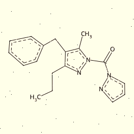 CCCc1nn(C(=O)n2cccn2)c(C)c1Cc1ccccc1